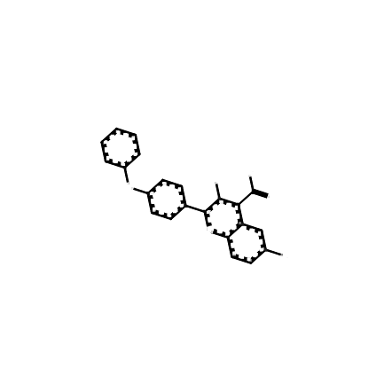 O=C(O)c1c(O)c(-c2ccc(Oc3ccccc3)cc2)nc2ccc(Br)cc12